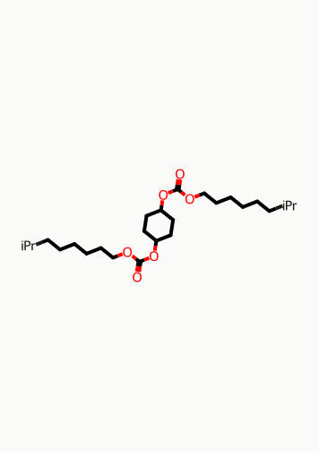 CC(C)CCCCCCOC(=O)OC1CCC(OC(=O)OCCCCCCC(C)C)CC1